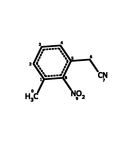 Cc1cccc(CC#N)c1[N+](=O)[O-]